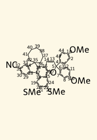 COc1ccc(C2(c3ccc(OC)cc3)C=Cc3c4c(c5cc(SC)c(SC)cc5c3O2)-c2ccc(C#N)cc2C42CCCCCCC2)cc1